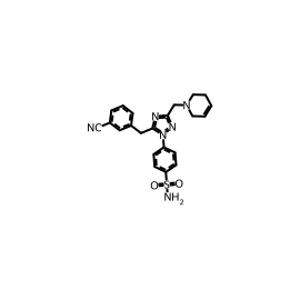 N#Cc1cccc(Cc2nc(CN3CC=CCC3)nn2-c2ccc(S(N)(=O)=O)cc2)c1